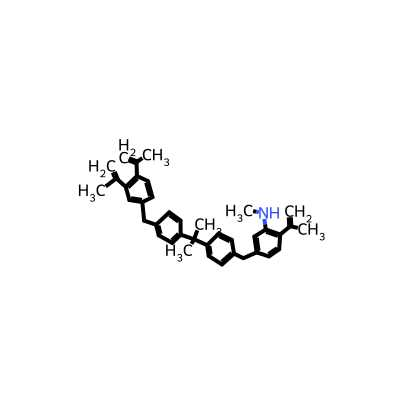 C=C(C)c1ccc(Cc2ccc(C(C)(C)c3ccc(Cc4ccc(C(=C)C)c(C(=C)C)c4)cc3)cc2)cc1NC